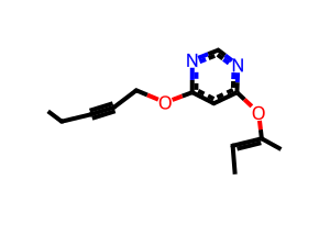 CC=C(C)Oc1cc(OCC#CCC)ncn1